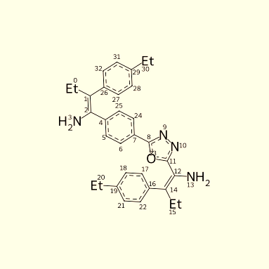 CCC(=C(N)c1ccc(-c2nnc(C(N)=C(CC)c3ccc(CC)cc3)o2)cc1)c1ccc(CC)cc1